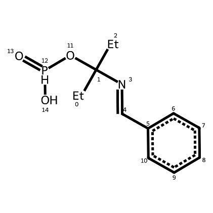 CCC(CC)(N=Cc1ccccc1)O[PH](=O)O